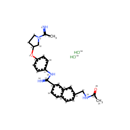 CC(=N)N1CCC(Oc2ccc(NC(=N)c3ccc4ccc(CNC(C)=O)cc4c3)cc2)C1.Cl.Cl